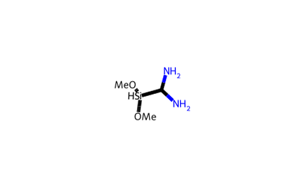 CO[SiH](OC)C(N)N